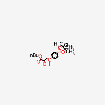 CCCCOC(=O)C(O)COc1ccc(B2OC(C)(C)C(C)(C)O2)cc1